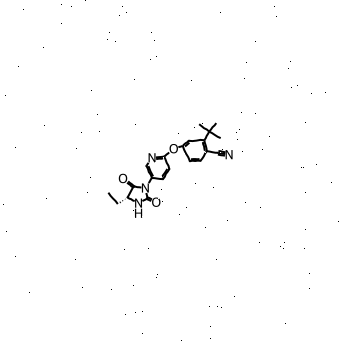 CC[C@H]1NC(=O)N(c2ccc(Oc3ccc(C#N)c(C(C)(C)C)c3)nc2)C1=O